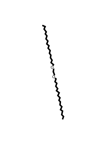 CCCCCCCCCCCCCCCCCCOC[CH]COCCCCCCCCCCCCCCCCCC